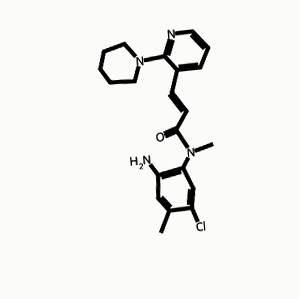 Cc1cc(N)c(N(C)C(=O)/C=C/c2cccnc2N2CCCCC2)cc1Cl